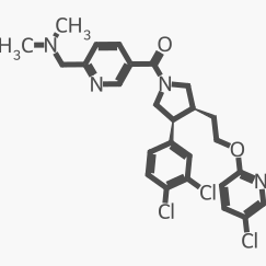 CN(C)Cc1ccc(C(=O)N2C[C@@H](CCOc3ccc(Cl)cn3)[C@@H](c3ccc(Cl)c(Cl)c3)C2)cn1